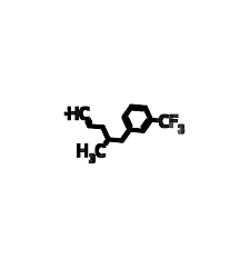 [CH]=CCC(C)Cc1cccc(C(F)(F)F)c1